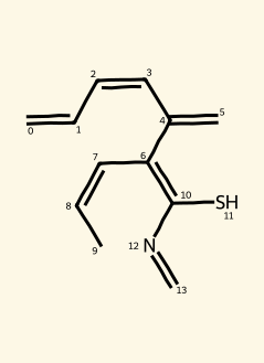 C=C/C=C\C(=C)C(/C=C\C)=C(\S)N=C